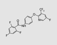 O=C(Nc1ccc(Oc2ncc(F)cc2C(F)(F)F)cc1)c1c(F)cc(F)cc1F